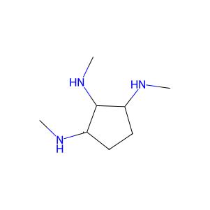 CN[C]1CCC(NC)C1NC